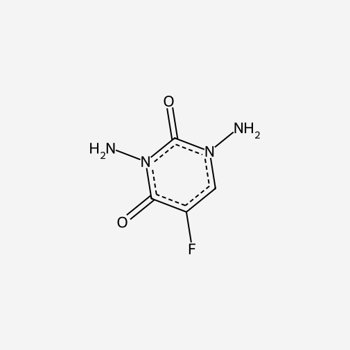 Nn1cc(F)c(=O)n(N)c1=O